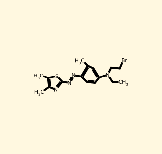 CCN(CCBr)c1ccc(N=Nc2nc(C)c(C)s2)c(C)c1